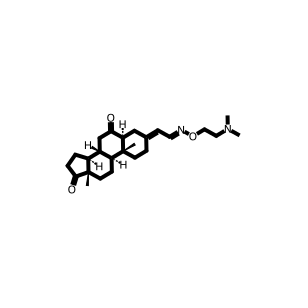 CN(C)CCO/N=C/C=C1\CC[C@@]2(C)[C@H](C1)C(=O)C[C@@H]1[C@@H]2CC[C@]2(C)C(=O)CC[C@@H]12